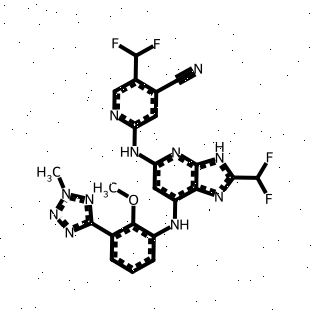 COc1c(Nc2cc(Nc3cc(C#N)c(C(F)F)cn3)nc3[nH]c(C(F)F)nc23)cccc1-c1nnn(C)n1